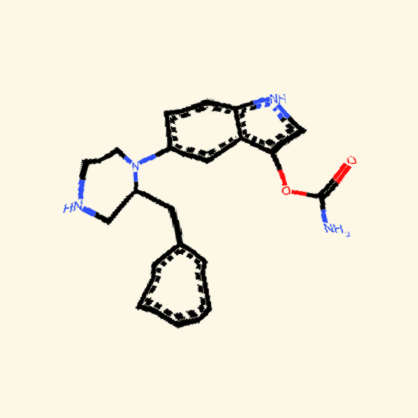 NC(=O)Oc1c[nH]c2ccc(N3CCNCC3Cc3ccccc3)cc12